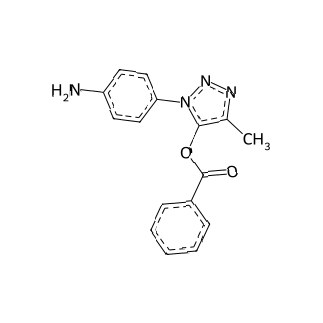 Cc1nnn(-c2ccc(N)cc2)c1OC(=O)c1ccccc1